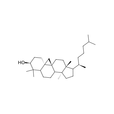 CC(C)CCC[C@@H](C)C1CC[C@@]2(C)C3CCC4C(C)(C)[C@@H](O)CC[C@@]45C[C@@]35CC[C@]12C